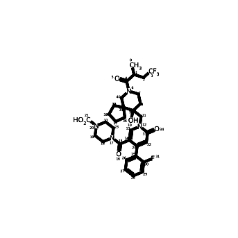 CC(CC(F)(F)F)C(=O)N1CCC(O)(Cn2cc(C(=O)N3CCN(C(=O)O)CC3)c(-c3ccccc3F)cc2=O)C2(CCCC2)C1